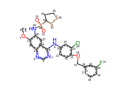 CCOc1cc2ncnc(Nc3ccc(OCc4cccc(F)c4)c(Cl)c3)c2cc1NS(=O)(=O)C1CCSS1